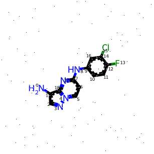 Nc1cnn2ccc(Nc3ccc(F)c(Cl)c3)nc12